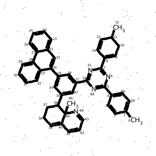 Cc1ccc(-c2nc(C3=CCC(C)C=C3)nc(-c3cc(-c4cc5ccccc5c5ccccc45)cc(C4CCC=C5C=CC=NC54C)c3)n2)cc1